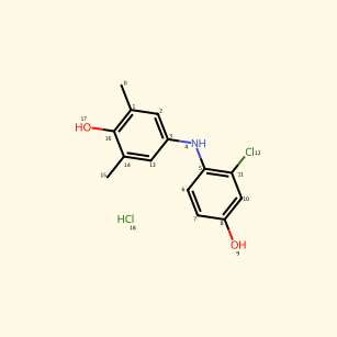 Cc1cc(Nc2ccc(O)cc2Cl)cc(C)c1O.Cl